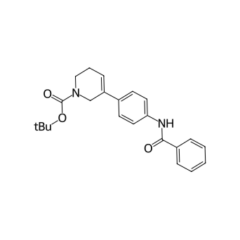 CC(C)(C)OC(=O)N1CCC=C(c2ccc(NC(=O)c3ccccc3)cc2)C1